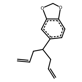 C=CCC(CC=C)c1ccc2c(c1)OCO2